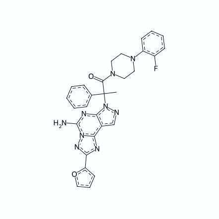 CC(C(=O)N1CCN(c2ccccc2F)CC1)(c1ccccc1)n1ncc2c1nc(N)n1nc(-c3ccco3)nc21